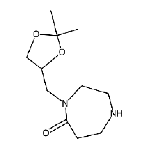 CC1(C)OCC(CN2CCNCCC2=O)O1